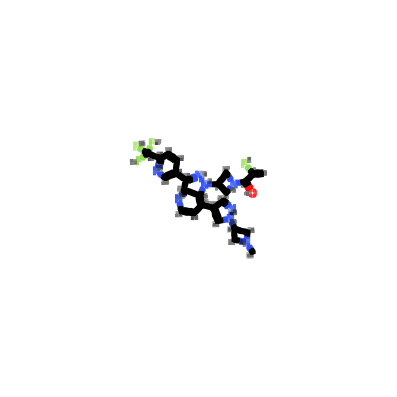 C=C(F)C(=O)N1CC(n2nc(-c3ccc(C(F)(F)F)nc3)c3nccc(-c4cnn(C5CN(C)C5)c4)c32)C1